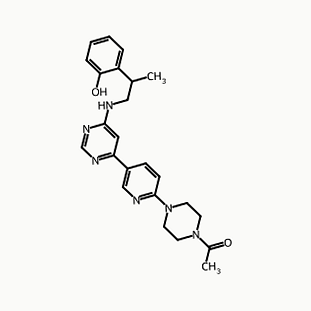 CC(=O)N1CCN(c2ccc(-c3cc(NCC(C)c4ccccc4O)ncn3)cn2)CC1